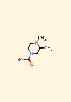 C=C1CN(C(=O)C(C)C)CCN1C